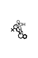 CC(C)(C)C1CCN(C(=O)O)C(=O)C1=Cc1ncn2c1CCCc1ccccc1-2